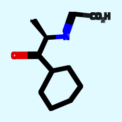 [CH2][C@@H](N=CC(=O)O)C(=O)C1CCCCC1